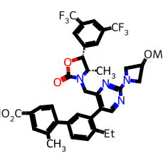 CCc1ccc(-c2ccc(C(=O)O)cc2C)cc1-c1cnc(N2CC(OC)C2)nc1CN1C(=O)O[C@H](c2cc(C(F)(F)F)cc(C(F)(F)F)c2)[C@@H]1C